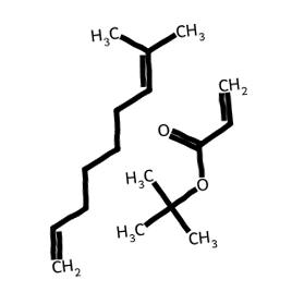 C=CC(=O)OC(C)(C)C.C=CCCCCC=C(C)C